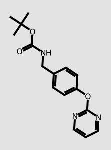 CC(C)(C)OC(=O)NCc1ccc(Oc2ncccn2)cc1